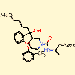 CNCC(C)NC(=O)N1CCCC(C(O)(CCCCOC)c2ccccc2Oc2ccccc2C(F)(F)F)C1